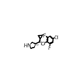 Fc1cc(Cl)cc(F)c1O[C@@H](C1CC1)[C@H]1CCNC1